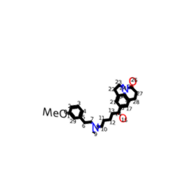 COc1cccc(CCN(C)CCCCC(=O)c2cc3c4c(c2)CCN4C(=O)CC3)c1